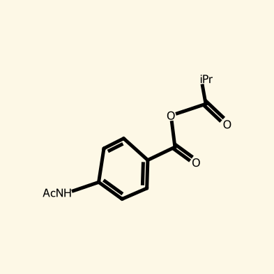 CC(=O)Nc1ccc(C(=O)OC(=O)C(C)C)cc1